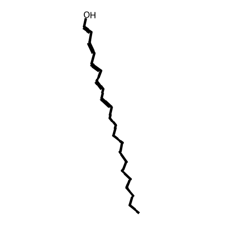 CCCCCCCCCCCCC=CC=CC=CC=CC=CO